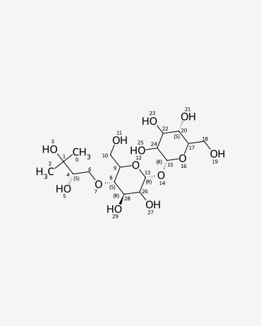 CC(C)(O)[C@@H](O)CO[C@@H]1C(CO)O[C@H](O[C@H]2OC(CO)[C@@H](O)C(O)C2O)C(O)[C@H]1O